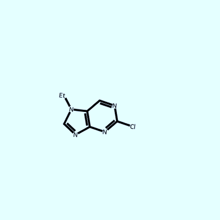 CCn1cnc2nc(Cl)ncc21